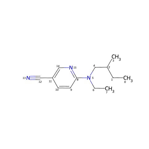 CCC(C)CN(CC)c1ccc(C#N)cn1